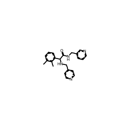 Cc1cccc(C(NCc2ccncc2)C(=O)NCc2cccnc2)c1C